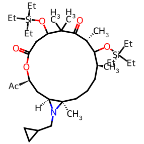 CC[Si](CC)(CC)OC1[C@@H](C)CCC[C@]2(C)[C@H](C[C@@H](C(C)=O)OC(=O)CC(O[Si](CC)(CC)CC)C(C)(C)C(=O)[C@@H]1C)N2CC1CC1